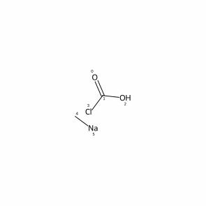 O=C(O)Cl.[CH3][Na]